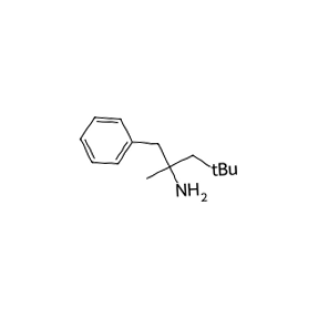 CC(C)(C)CC(C)(N)Cc1ccccc1